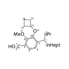 CCCCCCCC(CCC)c1ccc(C(=O)O)c(OC)c1OC1CCC1